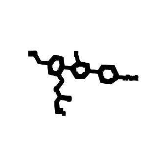 C=CC(=O)OCc1cc(CO)ccc1-c1ccc(-c2ccc(CCCCC)cc2)cc1F